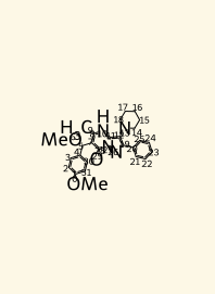 COc1ccc(C(OC)c2c(C)[nH]c3c(N4CCCCC4)c(-c4ccccc4)nn3c2=O)cc1